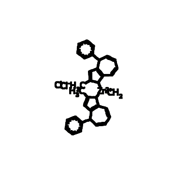 [CH2]=[Zr+2]([CH]1C(C)=CC2=C1C=CC=CC2c1ccccc1)[CH]1C(C)=CC2=C1C=CC=CC2c1ccccc1.[Cl-].[Cl-]